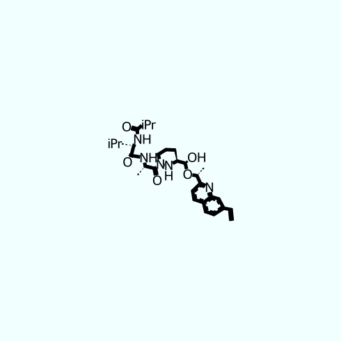 C=Cc1ccc2ccc([C@@H](C)O[C@H](O)[C@@H]3CCCN(C(=O)[C@H](C)NC(=O)[C@@H](NC(=O)C(C)C)C(C)C)N3)nc2c1